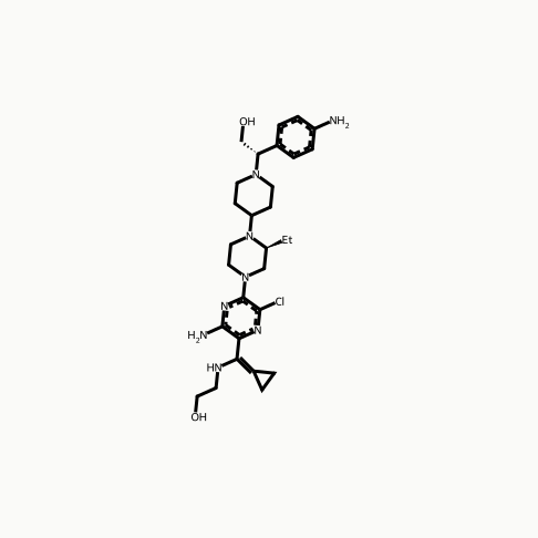 CC[C@H]1CN(c2nc(N)c(C(NCCO)=C3CC3)nc2Cl)CCN1C1CCN([C@H](CO)c2ccc(N)cc2)CC1